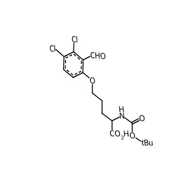 CC(C)(C)OC(=O)NC(CCCOc1ccc(Cl)c(Cl)c1C=O)C(=O)O